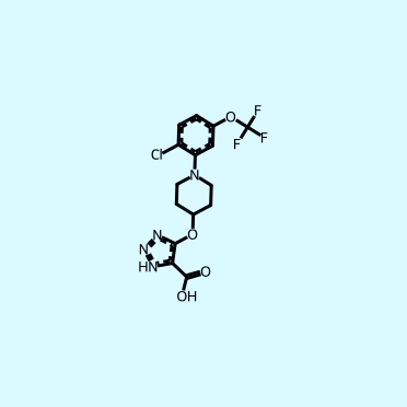 O=C(O)c1[nH]nnc1OC1CCN(c2cc(OC(F)(F)F)ccc2Cl)CC1